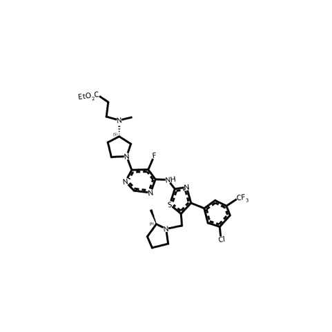 CCOC(=O)CCN(C)[C@H]1CCN(c2ncnc(Nc3nc(-c4cc(Cl)cc(C(F)(F)F)c4)c(CN4CCC[C@H]4C)s3)c2F)C1